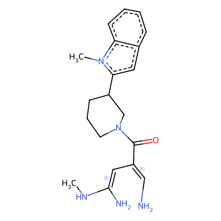 CN/C(N)=C/C(=C\N)C(=O)N1CCCC(c2cc3ccccc3n2C)C1